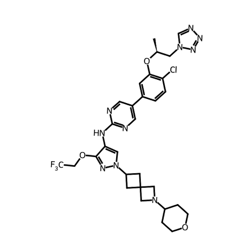 C[C@@H](Cn1cnnn1)Oc1cc(-c2cnc(Nc3cn(C4CC5(C4)CN(C4CCOCC4)C5)nc3OCC(F)(F)F)nc2)ccc1Cl